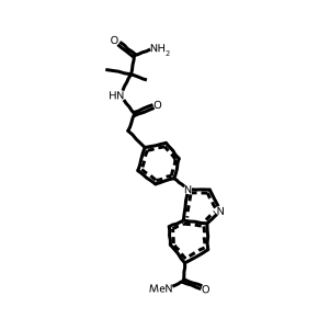 CNC(=O)c1ccc2c(c1)ncn2-c1ccc(CC(=O)NC(C)(C)C(N)=O)cc1